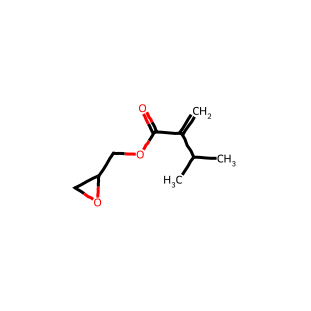 C=C(C(=O)OCC1CO1)C(C)C